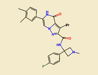 Cc1ccc(-c2cn3nc(C(=O)NC4(c5ccc(F)cc5)CN(C)C4)c(C(C)C)c3c(=O)[nH]2)cc1C